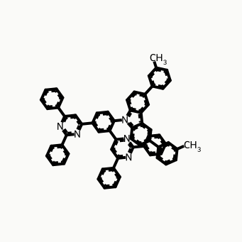 Cc1cccc(-c2ccc3c(c2)c2cc(-c4cccc(C)c4)ccc2n3-c2ccc(-c3cc(-c4ccccc4)nc(-c4ccccc4)n3)cc2-c2cc(-c3ccccc3)nc(-c3ccccc3)n2)c1